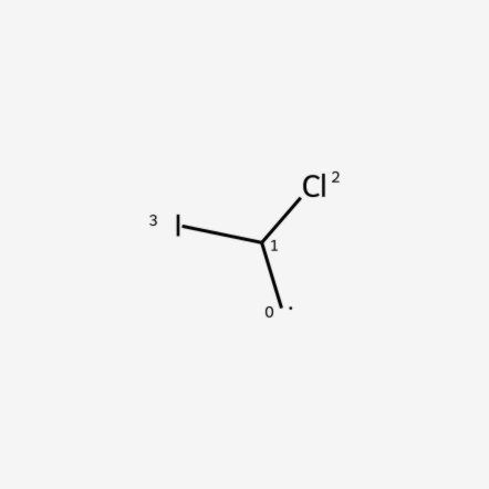 [CH2]C(Cl)I